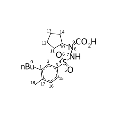 CCCCc1cc(S(=O)(=O)NN(C(=O)O)C2CCCC2)ccc1C